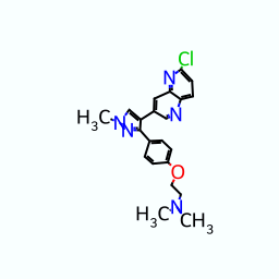 CN(C)CCOc1ccc(-c2nn(C)cc2-c2cnc3ccc(Cl)nc3c2)cc1